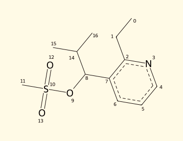 CCc1ncccc1C(OS(C)(=O)=O)C(C)C